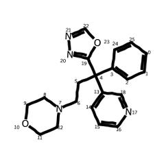 c1ccc(C(CCN2CCOCC2)(c2cccnc2)c2nnco2)cc1